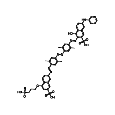 Cc1cc(N=Nc2cc(C)c(N=Nc3c(S(=O)(=O)O)cc4cc(Nc5ccccc5)ccc4c3O)cc2C)c(C)cc1N=Nc1ccc2c(OCCCS(=O)(=O)O)cc(S(=O)(=O)O)cc2c1